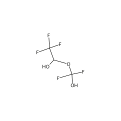 OC(OC(O)(F)F)C(F)(F)F